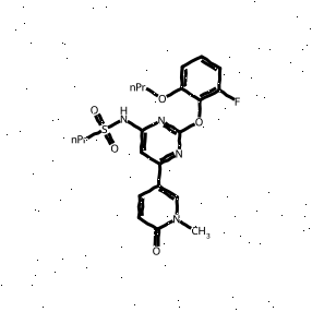 CCCOc1cccc(F)c1Oc1nc(NS(=O)(=O)CCC)cc(-c2ccc(=O)n(C)c2)n1